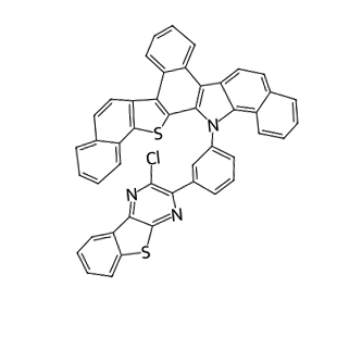 Clc1nc2c(nc1-c1cccc(-n3c4c5ccccc5ccc4c4c5ccccc5c5c6ccc7ccccc7c6sc5c43)c1)sc1ccccc12